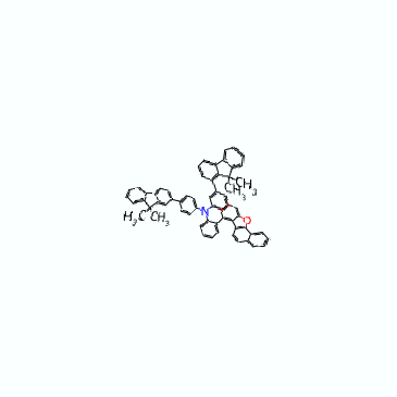 CC1(C)c2ccccc2-c2ccc(-c3ccc(N(c4cccc(-c5cccc6c5C(C)(C)c5ccccc5-6)c4)c4ccccc4-c4cccc5oc6c7ccccc7ccc6c45)cc3)cc21